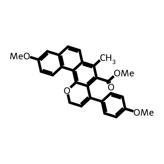 COC(=O)c1c2c(c3c(ccc4cc(OC)ccc43)c1C)OCC=C2c1ccc(OC)cc1